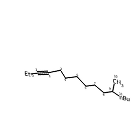 [CH2]CC#CCCCCCCC(C)CCC[CH2]